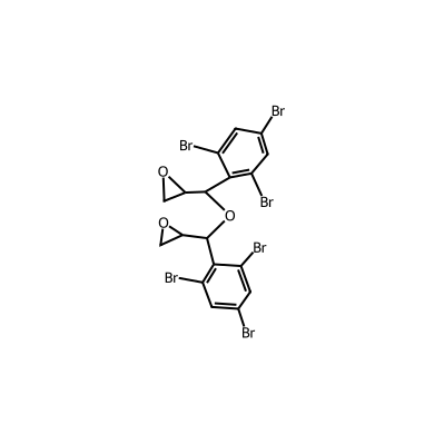 Brc1cc(Br)c(C(OC(c2c(Br)cc(Br)cc2Br)C2CO2)C2CO2)c(Br)c1